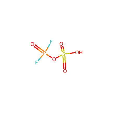 O=P(F)(F)OS(=O)(=O)O